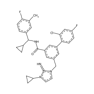 Cc1cc(C(NC(=O)c2cc(Cn3ccn(C4CC4)c3=N)cc(-c3ccc(F)cc3Cl)c2)C2CC2)ccc1F